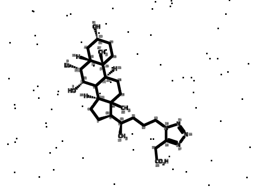 CC[C@H]1[C@@H](O)C2[C@@H]3CC[C@H]([C@H](C)CCCn4nnnc4CC(=O)O)C3(C)CC[C@@H]2[C@@]2(C)CC[C@@H](O)C[C@@H]12